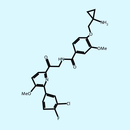 COc1cc(C(=O)NCC(=O)c2ccc(OC)c(-c3ccc(F)c(Cl)c3)n2)ccc1OCC1(N)CC1